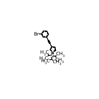 CC(C)[Si](C(C)C)(C(C)C)n1ccc(C#Cc2cccc(Br)c2)c1